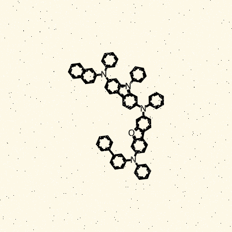 c1ccc(-c2cccc(N(c3ccccc3)c3ccc4c(c3)oc3cc(N(c5ccccc5)c5ccc6c7ccc(N(c8ccccc8)c8ccc9ccccc9c8)cc7n(-c7ccccc7)c6c5)ccc34)c2)cc1